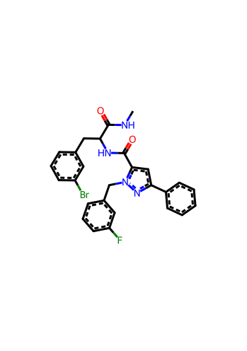 CNC(=O)C(Cc1cccc(Br)c1)NC(=O)c1cc(-c2ccccc2)nn1Cc1cccc(F)c1